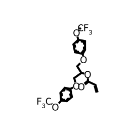 C=CC(=O)OC(COc1ccc(OC(F)(F)F)cc1)COc1ccc(OC(F)(F)F)cc1